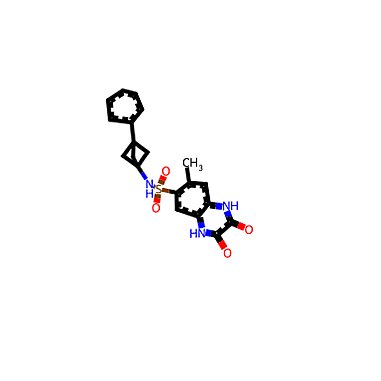 Cc1cc2[nH]c(=O)c(=O)[nH]c2cc1S(=O)(=O)NC12CC(c3ccccc3)(C1)C2